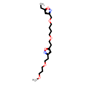 CCc1cc(COCCCCOCCc2cc(CCOCCCOC)no2)no1